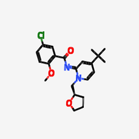 COc1ccc(Cl)cc1C(=O)/N=c1\cc(C(C)(C)C)ccn1C[C@H]1CCCO1